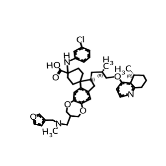 C[C@@H](COc1ccnc2c1[C@H](C)CCC2)C[C@H]1Cc2cc3c(cc2C12CCC(Nc1cccc(Cl)c1)(C(=O)O)CC2)OCC(CN(C)Cc1ccoc1)CO3